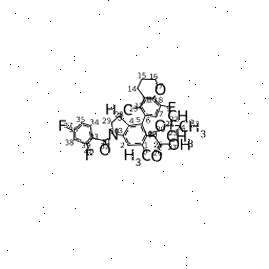 Cc1cc2c(c(-c3cc(F)c4c(c3C)CCCO4)c1[C@H](OC(C)(C)C)C(=O)O)CCN2C(=O)c1ccc(F)cc1F